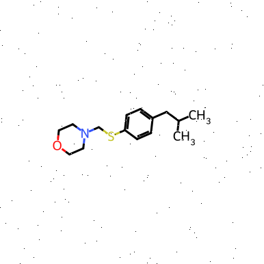 CC(C)Cc1ccc(SCN2CCOCC2)cc1